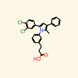 Cc1c(-c2ccccc2)cc(-c2ccc(Cl)c(Cl)c2)n1-c1cccc(CCC(=O)O)c1